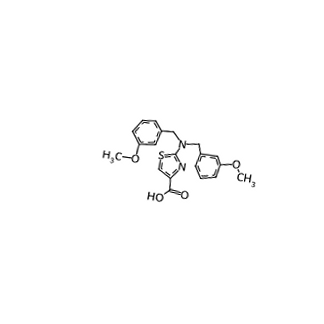 COc1cccc(CN(Cc2cccc(OC)c2)c2nc(C(=O)O)cs2)c1